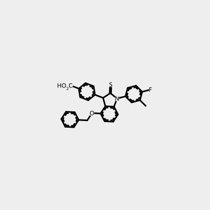 Cc1cc(N2C(=S)C(c3ccc(C(=O)O)cc3)c3c(OCc4ccccc4)cccc32)ccc1F